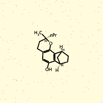 CCC[C@@]1(C)CCc2cc(O)c3c(c2O1)[C@H]1CC[C@@H]3C1